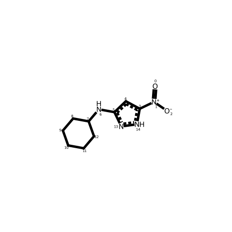 O=[N+]([O-])c1cc(NC2CCCCC2)n[nH]1